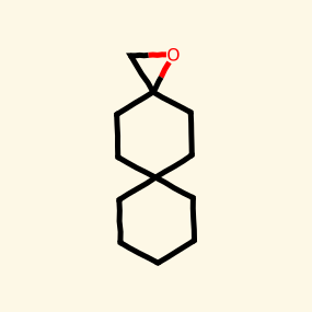 C1CCC2(CC1)CCC1(CC2)CO1